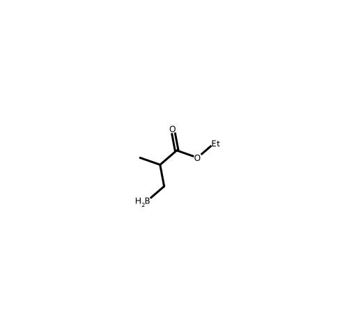 BCC(C)C(=O)OCC